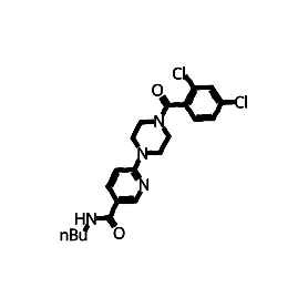 CCCCNC(=O)c1ccc(N2CCN(C(=O)c3ccc(Cl)cc3Cl)CC2)nc1